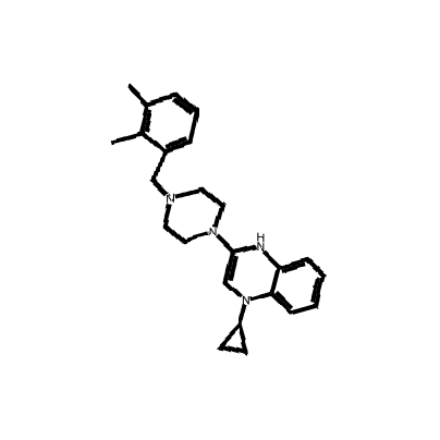 Cc1cccc(CN2CCN(C3=CN(C4CC4)c4ccccc4N3)CC2)c1C